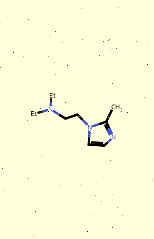 CCN(CC)CCn1ccnc1C